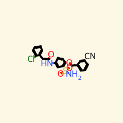 N#Cc1cccc(COc2ccc(NC(=O)Cc3ccccc3Cl)cc2S(N)(=O)=O)c1